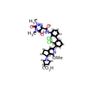 COc1nc(-c2cccc(-c3cccc(NC(=O)c4nn(C)c(=O)n(C)c4=O)c3Cl)c2Cl)cc2c1C(N1CCC(C(=O)O)C1)CC2